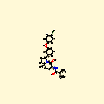 CNC(C)C(=O)N[C@H]1CC[C@H]2CC[C@@H](c3cccc(Oc4ccc(F)cc4)c3)N2C1=O